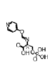 O=C(O)[C@H](COP(=O)(O)O)N=COc1ccncc1